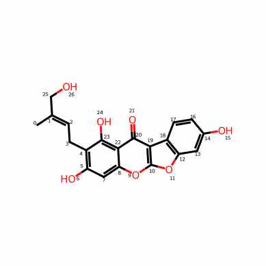 C/C(=C\Cc1c(O)cc2oc3oc4cc(O)ccc4c3c(=O)c2c1O)CO